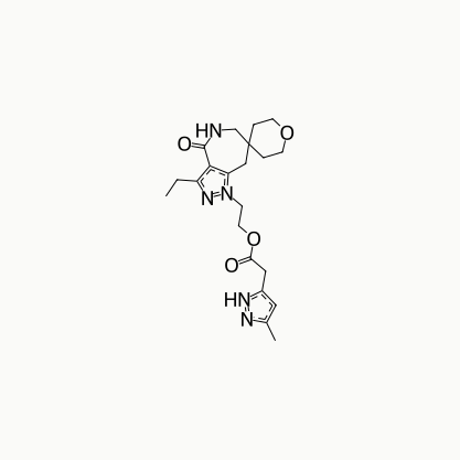 CCc1nn(CCOC(=O)Cc2cc(C)n[nH]2)c2c1C(=O)NCC1(CCOCC1)C2